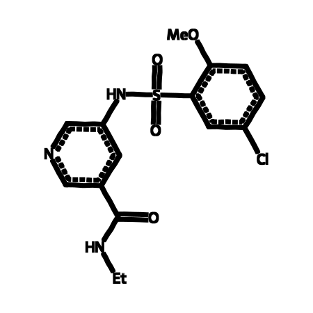 CCNC(=O)c1cncc(NS(=O)(=O)c2cc(Cl)ccc2OC)c1